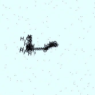 Cc1ncsc1-c1ccc(CNC(=O)[Si@@H]2CCCN2C(=O)[C@@H](NC(=O)CCCCCCCCCCCCC(=O)N2CC(c3cc4cc(-c5ccccc5O)nnc4[nH]3)C2)C(C)(C)C)cc1